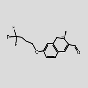 C[C@@H]1Cc2cc(OCCCC(F)(F)F)ccc2C=C1C=O